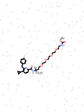 CCOC(=O)C(CC)(CCOCCOCCOCCOCCNC(=O)OC(C)(C)C)NC(=O)c1ccc(C2CC2)c(Cc2ccc(F)cc2)n1